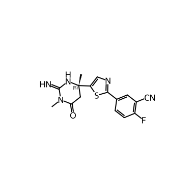 CN1C(=N)N[C@](C)(c2cnc(-c3ccc(F)c(C#N)c3)s2)CC1=O